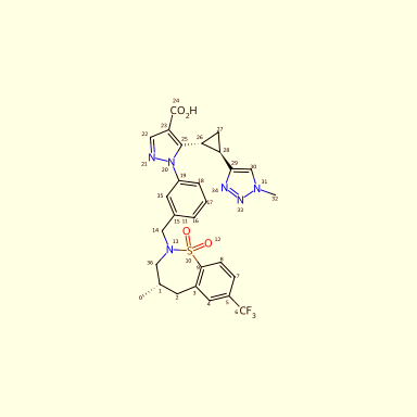 C[C@H]1Cc2cc(C(F)(F)F)ccc2S(=O)(=O)N(Cc2cccc(-n3ncc(C(=O)O)c3[C@@H]3C[C@H]3c3cn(C)nn3)c2)C1